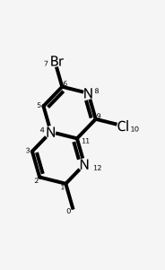 CC1C=CN2C=C(Br)N=C(Cl)C2=N1